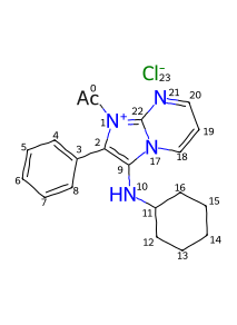 CC(=O)[n+]1c(-c2ccccc2)c(NC2CCCCC2)n2cccnc21.[Cl-]